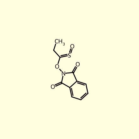 CCC(ON1C(=O)c2ccccc2C1=O)=S=O